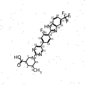 CC1CC(C(=O)O)CN(c2ncc(-c3ccc(-c4nc5cc(C(F)(F)F)ccc5[nH]4)c(F)c3)cn2)C1